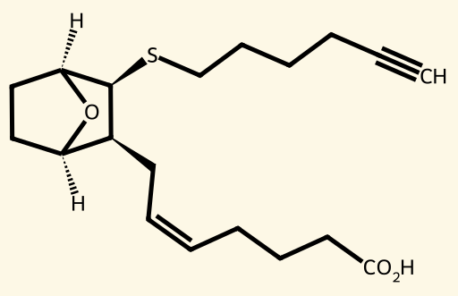 C#CCCCCS[C@H]1[C@@H](C/C=C\CCCC(=O)O)[C@H]2CC[C@@H]1O2